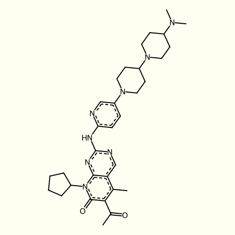 CC(=O)c1c(C)c2cnc(Nc3ccc(N4CCC(N5CCC(N(C)C)CC5)CC4)cn3)nc2n(C2CCCC2)c1=O